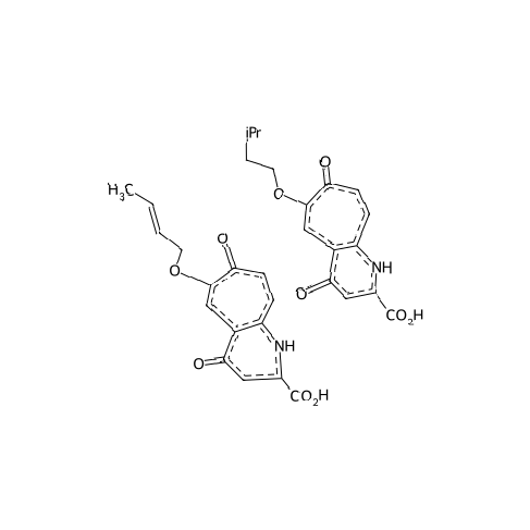 C/C=C/COc1cc2c(=O)cc(C(=O)O)[nH]c2ccc1=O.CC(C)CCOc1cc2c(=O)cc(C(=O)O)[nH]c2ccc1=O